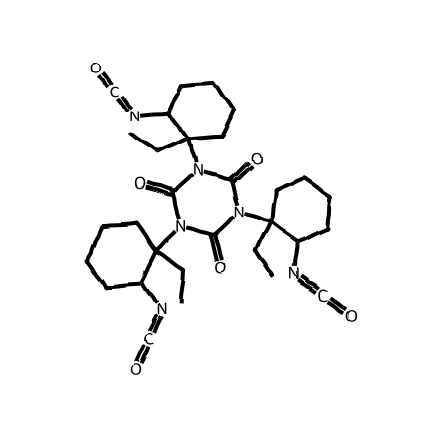 CCC1(n2c(=O)n(C3(CC)CCCCC3N=C=O)c(=O)n(C3(CC)CCCCC3N=C=O)c2=O)CCCCC1N=C=O